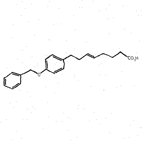 O=C(O)CCCC=CCCc1ccc(OCc2ccccc2)cc1